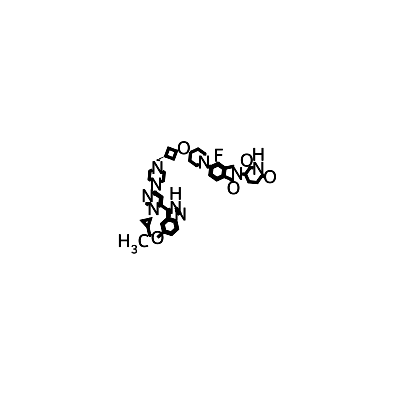 CC(Oc1ccc2n[nH]c(-c3cc(N4CCN(C[C@H]5C[C@H](OC6CCN(c7ccc8c(c7F)CN(C7CCC(=O)NC7=O)C8=O)CC6)C5)CC4)ncn3)c2c1)C1CC1